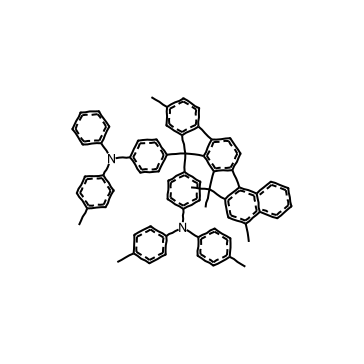 Cc1ccc(N(c2ccccc2)c2ccc(C3(c4ccc(N(c5ccc(C)cc5)c5ccc(C)cc5)cc4)c4cc(C)ccc4-c4ccc5c(c43)C(C)(C)c3cc(C)c4ccccc4c3-5)cc2)cc1